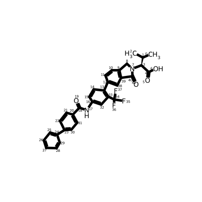 CC(C)[C@@H](C(=O)O)N1Cc2ccc(-c3ccc(NC(=O)c4ccc(-c5ccccc5)cc4)cc3C(F)(F)F)cc2C1=O